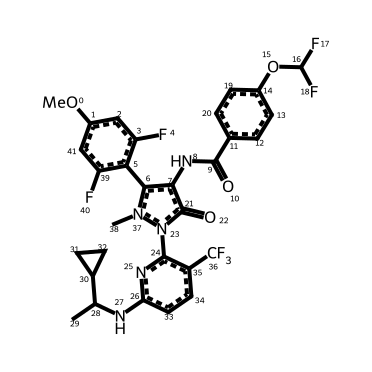 COc1cc(F)c(-c2c(NC(=O)c3ccc(OC(F)F)cc3)c(=O)n(-c3nc(NC(C)C4CC4)ccc3C(F)(F)F)n2C)c(F)c1